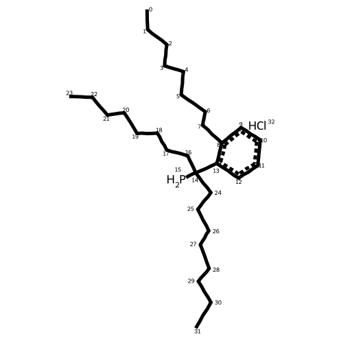 CCCCCCCCc1ccccc1C(P)(CCCCCCCC)CCCCCCCC.Cl